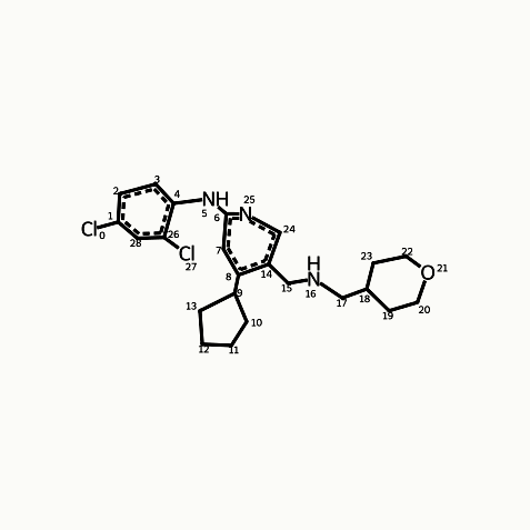 Clc1ccc(Nc2cc(C3CCCC3)c(CNCC3CCOCC3)cn2)c(Cl)c1